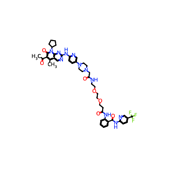 CC(=O)c1c(C)c2cnc(Nc3ccc(N4CCN(CC(=O)NCCOCCOCCC(=O)Nc5ccccc5C(=O)Nc5ccc(C(F)(F)F)cn5)CC4)cn3)nc2n(C2CCCC2)c1=O